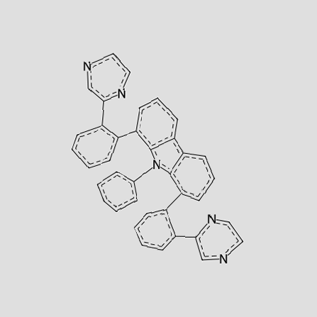 c1ccc(-n2c3c(-c4ccccc4-c4cnccn4)cccc3c3cccc(-c4ccccc4-c4cnccn4)c32)cc1